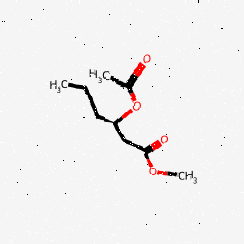 CCC[C@H](CC(=O)OC)OC(C)=O